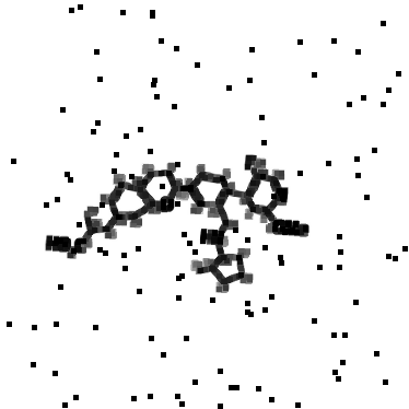 COc1cc(-c2ccc([C@@H]3CCc4ccc(CC(C)C(=O)O)cc4O3)cc2CNC2CCCC2C)c(F)cn1